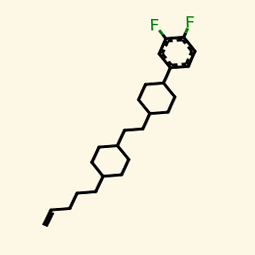 C=CCCCC1CCC(CCC2CCC(c3ccc(F)c(F)c3)CC2)CC1